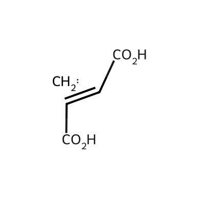 O=C(O)C=CC(=O)O.[CH2]